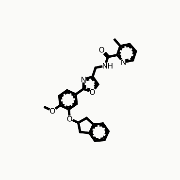 COc1ccc(-c2nc(CNC(=O)c3ncccc3C)co2)cc1OC1Cc2ccccc2C1